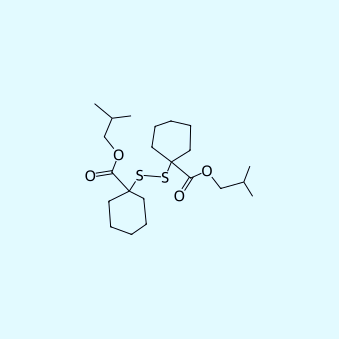 CC(C)COC(=O)C1(SSC2(C(=O)OCC(C)C)CCCCC2)CCCCC1